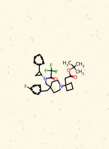 CC(C)(C)OC(=O)CC1(N2CCC(Cc3ccc(F)cc3)(CN(C(=O)C(F)(F)F)[C@@H]3CC3c3ccccc3)CC2)CCC1